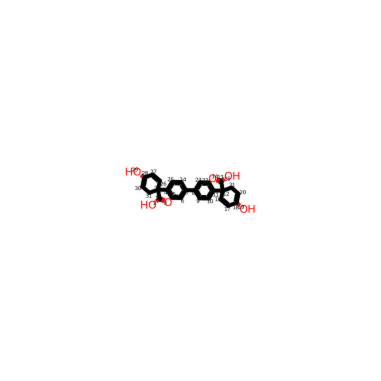 O=C(O)C1(c2ccc(-c3ccc(C4(C(=O)O)C=CC(O)=CC4)cc3)cc2)C=CC(O)=CC1